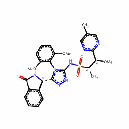 COc1cccc(OC)c1-n1c(NS(=O)(=O)[C@@H](C)[C@H](OC)c2ncc(C)cn2)nnc1[C@H]1NC(=O)c2ccccc21